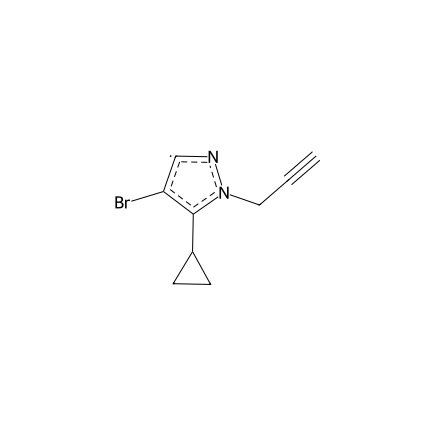 C#CCn1n[c]c(Br)c1C1CC1